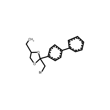 CCC1COC(CBr)(c2ccc(-c3ccccc3)cc2)O1